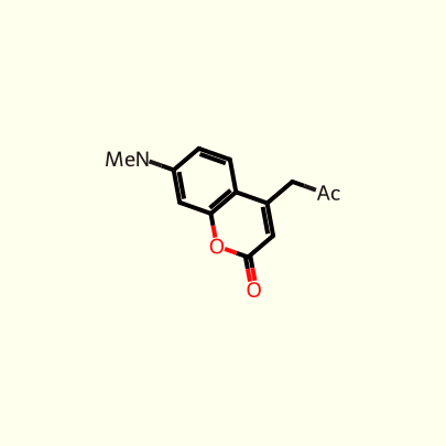 CNc1ccc2c(CC(C)=O)cc(=O)oc2c1